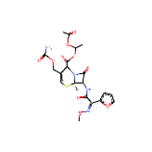 CO/N=C(\C(=O)N[C@@H]1C(=O)N2C(C(=O)OC(C)OC(C)=O)C(COC(N)=O)=CS[C@H]12)c1ccco1